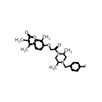 Cc1c(C)c2ccc(OCC(=O)N3CC(C)N(Cc4ccc(F)cc4)CC3C)c(C)c2oc1=O